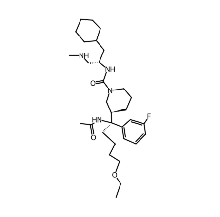 CCOCCCC[C@@](NC(C)=O)(c1cccc(F)c1)[C@@H]1CCCN(C(=O)N[C@H](CNC)CC2CCCCC2)C1